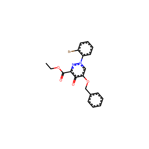 CCOC(=O)c1nn(-c2ccccc2Br)cc(OCc2ccccc2)c1=O